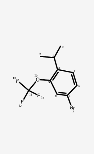 CC(C)c1ccc(Br)cc1OC(F)(F)F